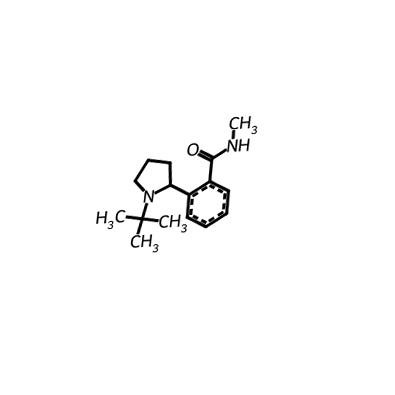 CNC(=O)c1ccccc1C1CCCN1C(C)(C)C